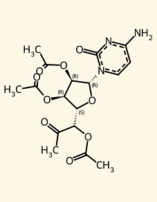 CC(=O)OC(C(C)=O)[C@H]1O[C@@H](n2ccc(N)nc2=O)[C@H](OC(C)=O)[C@@H]1OC(C)=O